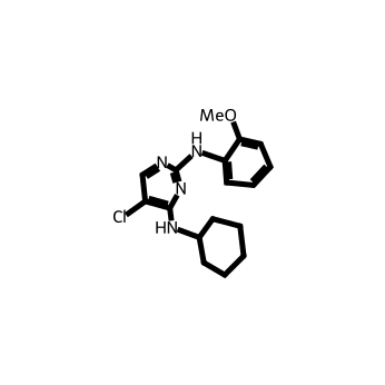 COc1ccccc1Nc1ncc(Cl)c(NC2CCCCC2)n1